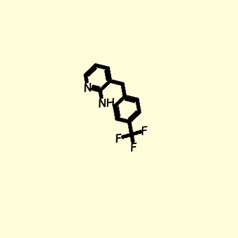 Nc1ncccc1Cc1ccc(C(F)(F)F)cc1